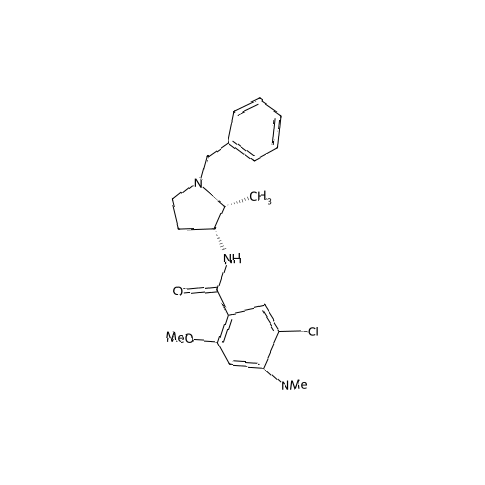 CNc1cc(OC)c(C(=O)N[C@@H]2CCN(Cc3ccccc3)[C@@H]2C)cc1Cl